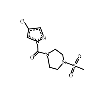 CS(=O)(=O)N1CCN(C(=O)n2cc(Cl)cn2)CC1